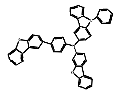 c1ccc(-n2c3ccccc3c3cc(N(c4ccc(-c5ccc6sc7ccccc7c6c5)cc4)c4ccc5c(c4)oc4ccccc45)ccc32)cc1